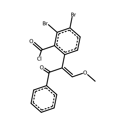 COC=C(C(=O)c1ccccc1)c1ccc(Br)c(Br)c1C(=O)Cl